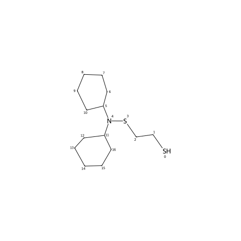 SCCSN(C1CCCCC1)C1CCCCC1